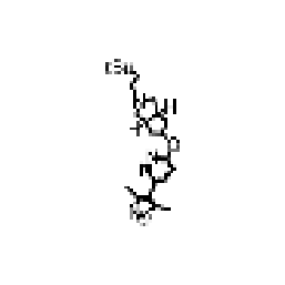 Cc1noc(C)c1-c1ccc(OC2C[C@@H]3CN(CCC(C)(C)C)C[C@@H]3C2)nn1